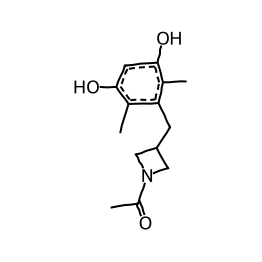 CC(=O)N1CC(Cc2c(C)c(O)cc(O)c2C)C1